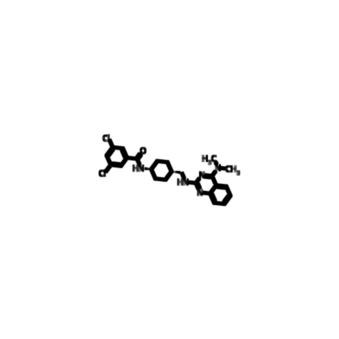 CN(C)c1nc(NC[C@H]2CC[C@@H](NC(=O)c3cc(Cl)cc(Cl)c3)CC2)nc2ccccc12